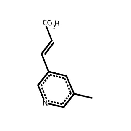 Cc1[c]ncc(C=CC(=O)O)c1